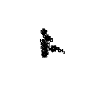 COc1ccc(CNc2c(Cc3ccccc3)c(C)nc3nc(Nc4cc(Cl)ccc4Oc4cccnc4)nn23)cc1